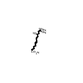 CCCCCCC(O)CCC(O)CCCCCCCCC(=O)O